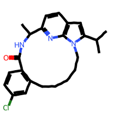 CC(C)c1cc2ccc3nc2n1CCCCCc1cc(Cl)ccc1C(=O)NC3C